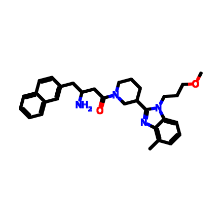 COCCCn1c(C2CCCN(C(=O)CC(N)Cc3ccc4ccccc4c3)C2)nc2c(C)cccc21